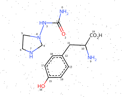 NC(=O)NN1CCNC1.NC(Cc1ccc(O)cc1)C(=O)O